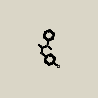 CC(Oc1ccc(Cl)cc1)N(C)c1ccccc1